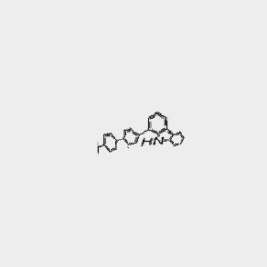 Ic1ccc(-c2[c]cc(-c3cccc4c3[nH]c3ccccc34)cc2)cc1